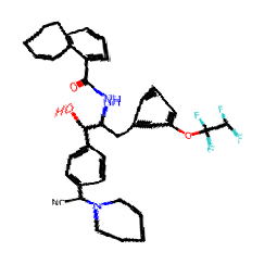 N#CC(c1ccc(C(O)C(Cc2cccc(OC(F)(F)C(F)F)c2)NC(=O)c2cccc3c2C=CCCC3)cc1)N1CCCCC1